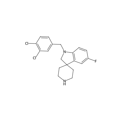 Fc1ccc2c(c1)C1(CCNCC1)CN2Cc1ccc(Cl)c(Cl)c1